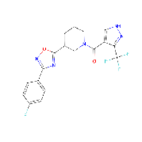 O=C(c1c[nH]nc1C(F)(F)F)N1CCCC(c2nc(-c3ccc(F)cc3)no2)C1